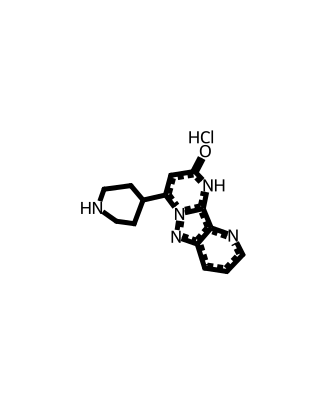 Cl.O=c1cc(C2CCNCC2)n2nc3cccnc3c2[nH]1